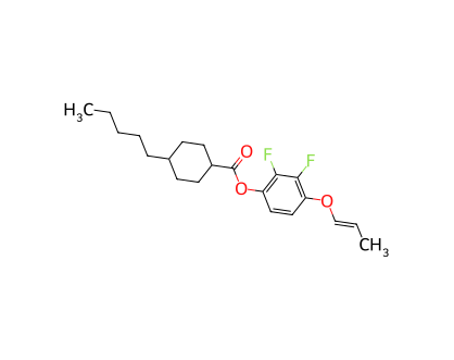 C/C=C/Oc1ccc(OC(=O)C2CCC(CCCCC)CC2)c(F)c1F